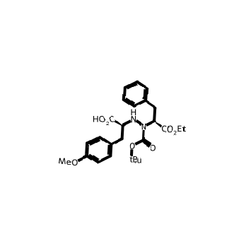 CCOC(=O)[C@H](Cc1ccccc1)N(N[C@@H](Cc1ccc(OC)cc1)C(=O)O)C(=O)OC(C)(C)C